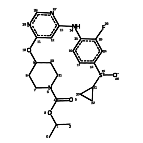 CC(C)OC(=O)N1CCC(Oc2cc(Nc3ccc([S+]([O-])C4CC4)cc3F)ncn2)CC1